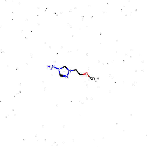 NN1C=NN(CCOS(=O)(=O)O)C1